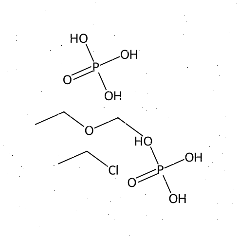 CCCl.CCOCC.O=P(O)(O)O.O=P(O)(O)O